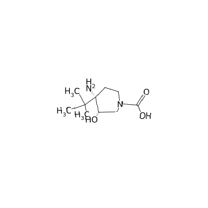 CC(C)(C)[C@@]1(N)CCN(C(=O)O)C[C@@H]1O